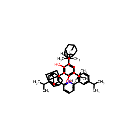 CC(C)c1ccc(-c2cc(C(C)(C)C)cc(C34CC5CC(CC3C5)C4)c2O)c(-c2cccc(-c3cc(C(C)C)ccc3-c3cc(C(C)(C)C)cc(C45CC6CC7CC(C4)C75C6)c3O)n2)c1